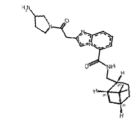 CC1(C)[C@@H]2CC[C@@H](CNC(=O)c3cccc4nc(CC(=O)N5CCC(N)C5)cn34)[C@H]1C2